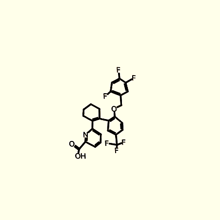 O=C(O)c1cccc(C2=C(c3cc(C(F)(F)F)ccc3OCc3cc(F)c(F)cc3F)CCCC2)n1